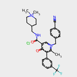 Cc1c(-c2cccc(C(F)(F)F)c2)c(=O)c(C(=O)NCC2CC[N+](C)(C)CC2)cn1Cc1ccc(C#N)cc1.[Cl-]